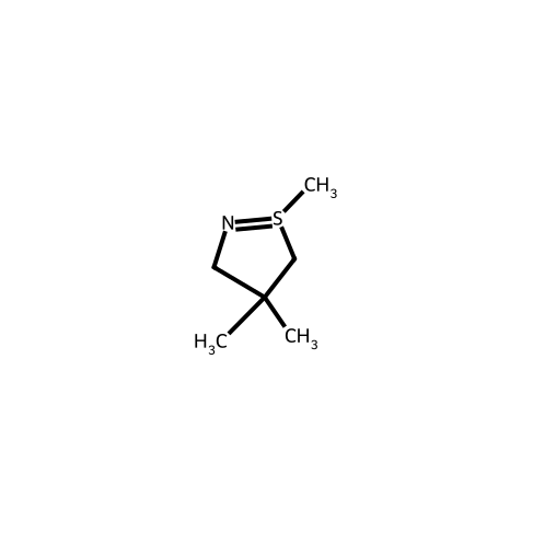 CS1=NCC(C)(C)C1